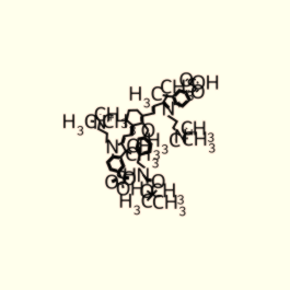 CC(C)(C)OC(=O)NCCc1ccc(OC2=C(/C=C/C3=[N+](CCC[N+](C)(C)C)c4ccc(S(=O)(=O)O)cc4C3(C)C)CCC/C2=C\C=C2\N(CCC[N+](C)(C)C)c3ccc(S(=O)(=O)O)cc3C2(C)C)cc1